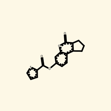 O=C(Oc1ccc2c3c(c(=O)oc2c1)CCC3)c1cccs1